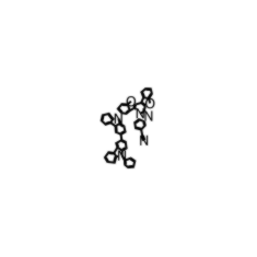 N#Cc1ccc2c(c1)nc1c3oc4ccccc4c3c3oc4ccc(-n5c6ccccc6c6cc(-c7ccc8c(c7)c7ccccc7n8-c7ccccc7)ccc65)cc4c3n21